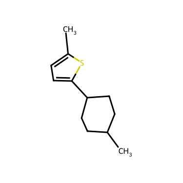 Cc1ccc(C2CCC(C)CC2)s1